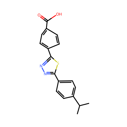 CC(C)c1ccc(-c2nnc(-c3ccc(C(=O)O)cc3)s2)cc1